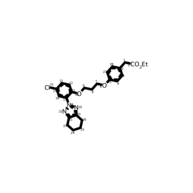 CCOC(=O)Cc1ccc(OCCCOc2ccc(Cl)cc2-n2nc3c(n2)CCCC3)cc1